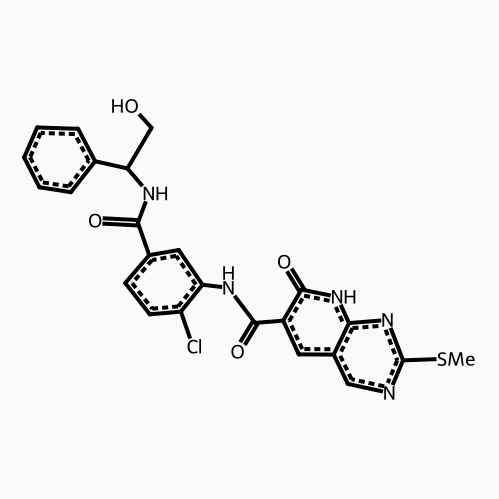 CSc1ncc2cc(C(=O)Nc3cc(C(=O)NC(CO)c4ccccc4)ccc3Cl)c(=O)[nH]c2n1